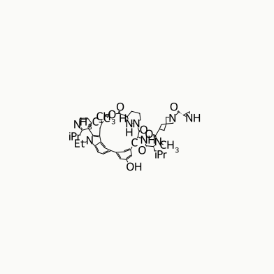 CCn1c(-c2cccnc2C(C)C)c2c3cc(ccc31)-c1cc(O)cc(c1)C[C@H](NC(=O)[C@H](C(C)C)N(C)C(=O)C1CC3(C1)CN(C(=O)[C@@H]1CN1)C3)C(=O)N1CCC[C@H](N1)C(=O)OCC(C)(C)C2